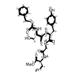 COC(=O)[C@H](CC(C)C)NC(=O)CNC(=O)[C@H](Cc1ccc(O)cc1)NC(=O)[C@H](CO)NC(=O)OCc1ccccc1